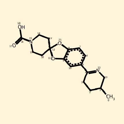 CC1CCC(c2ccc3c(c2)OC2(CCN(C(=O)O)CC2)O3)=NC1